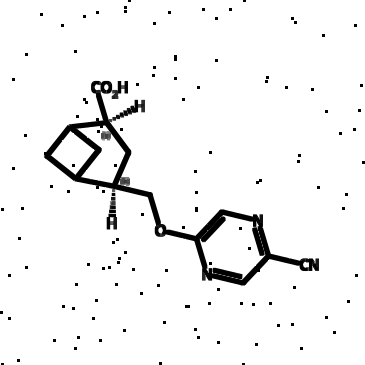 N#Cc1cnc(OC[C@@H]2C[C@H](C(=O)O)C3CC2C3)cn1